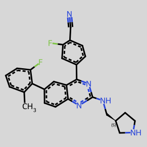 Cc1cccc(F)c1-c1ccc2nc(NC[C@H]3CCNC3)nc(-c3ccc(C#N)c(F)c3)c2c1